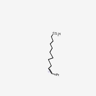 CCC/C=C\CCCCCCCCC(=O)O